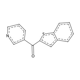 O=C(c1cccnc1)c1cc2ccccc2s1